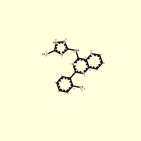 Cc1nc(Nc2nc(-c3ccccc3C(F)(F)F)nc3cccnc23)n[nH]1